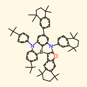 CC(C)(C)c1ccc(N2c3ccc(C(C)(C)C)cc3B3c4c2cc(-c2ccc5c(c2)C(C)(C)CCC5(C)C)cc4N(c2ccc4c(c2)C(C)(C)CCC4(C)C)c2oc4cc5c(cc4c23)C(C)(C)CCC5(C)C)cc1